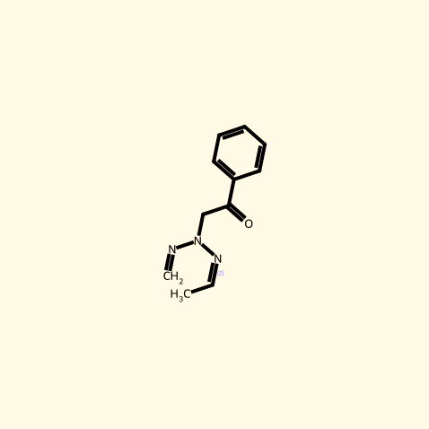 C=NN(CC(=O)c1ccccc1)/N=C\C